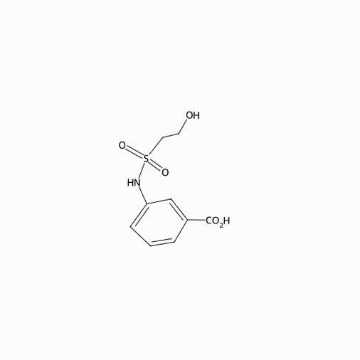 O=C(O)c1cccc(NS(=O)(=O)CCO)c1